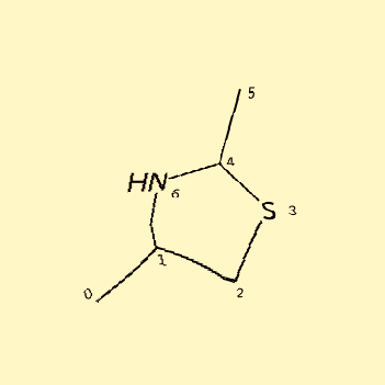 CC1CSC(C)N1